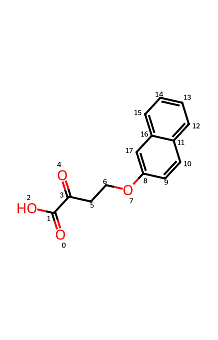 O=C(O)C(=O)CCOc1ccc2ccccc2c1